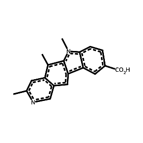 Cc1cc2c(C)c3c(cc2cn1)c1cc(C(=O)O)ccc1n3C